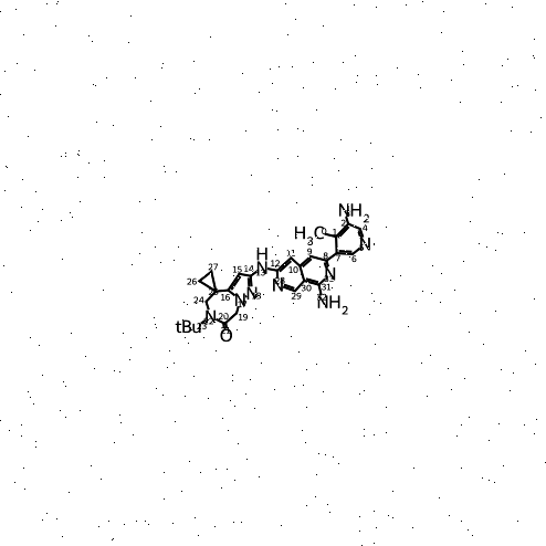 Cc1c(N)cncc1-c1cc2cc(Nc3cc4n(n3)CC(=O)N(C(C)(C)C)CC43CC3)ncc2c(N)n1